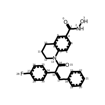 O=C(NO)c1ccc2c(c1)CCCN2C(=O)/C(=C\c1ccccc1)c1ccc(F)cc1